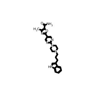 Cc1nc(-c2cnc(N3CCN(CCCc4c[nH]c5ccccc45)CC3)nc2)oc1C(N)=O